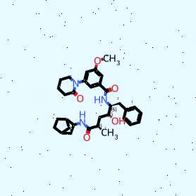 COc1cc(C(=O)N[C@@H](Cc2ccccc2)[C@@H](O)C[C@@H](C)C(=O)NC2CC3CCC2C3)cc(N2CCCCC2=O)c1